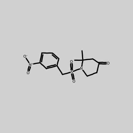 CC1(C)CC(=O)CCN1S(=O)(=O)Cc1cccc([N+](=O)[O-])c1